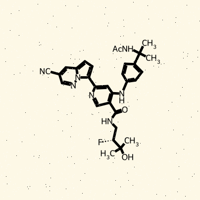 CC(=O)NC(C)(C)c1ccc(Nc2cc(-c3ccc4cc(C#N)cnn34)ncc2C(=O)NC[C@@H](F)C(C)(C)O)cc1